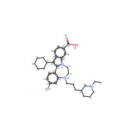 CCN1CCCC(CCCN2CCn3c(c(C4CCCCC4)c4ccc(C(=O)O)cc43)-c3ccc(Cl)cc32)C1